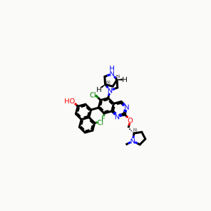 CN1CCC[C@H]1COc1ncc2c(N3C[C@@H]4C[C@H]3CN4)c(Cl)c(-c3cc(O)cc4cccc(Cl)c34)c(F)c2n1